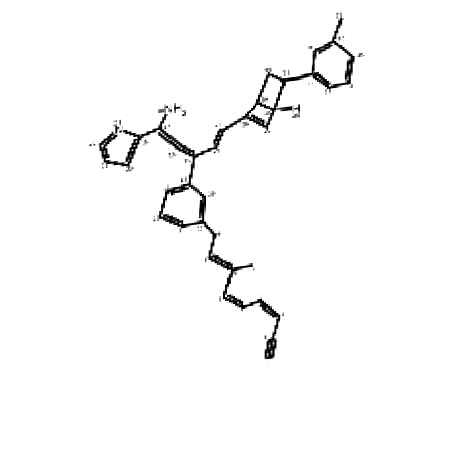 C#C\C=C/C=C\C(C)=C\Cc1cccc(C(=C=C(N)C2=CC=C=N2)/C=C/C2=C[C@@H]3C2CC3c2cccc(C)c2)c1